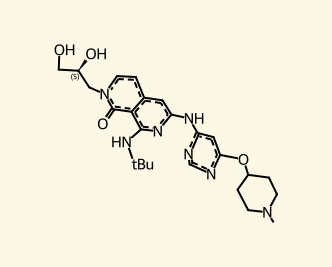 CN1CCC(Oc2cc(Nc3cc4ccn(C[C@H](O)CO)c(=O)c4c(NC(C)(C)C)n3)ncn2)CC1